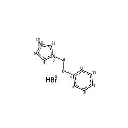 Br.c1ccc(CCn2ccnc2)cc1